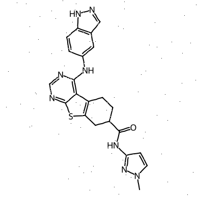 Cn1ccc(NC(=O)C2CCc3c(sc4ncnc(Nc5ccc6[nH]ncc6c5)c34)C2)n1